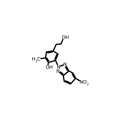 Cc1cc(CCO)cc(-n2nc3ccc([N+](=O)[O-])cc3n2)c1O